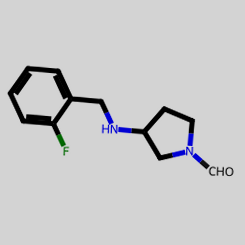 O=CN1CCC(NCc2ccccc2F)C1